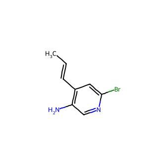 C/C=C/c1cc(Br)ncc1N